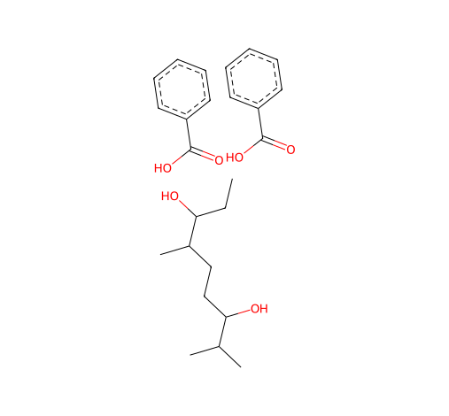 CCC(O)C(C)CCC(O)C(C)C.O=C(O)c1ccccc1.O=C(O)c1ccccc1